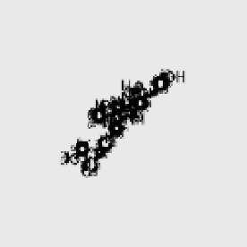 CC(C)Oc1ccccc1[C@@H]1COCCN1C1CC2(CCN(c3ccc(C(=O)NS(=O)(=O)c4ccc(NCC5CCC(C)(O)CC5)c([N+](=O)[O-])c4)c(N4c5cc6cc[nH]c6nc5O[C@H]5CO[C@@H](C)C[C@@H]54)c3)CC2)C1